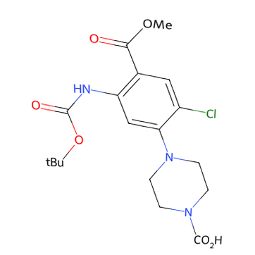 COC(=O)c1cc(Cl)c(N2CCN(C(=O)O)CC2)cc1NC(=O)OC(C)(C)C